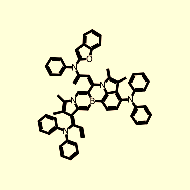 C=C/C(=c1/c(C)c(C)n2c1=CB1C(=C2)/C(=C\C(=C)N(c2ccccc2)c2cc3ccccc3o2)n2c(C)c(C)c3c(N(c4ccccc4)c4ccccc4)ccc1c32)N(c1ccccc1)c1ccccc1